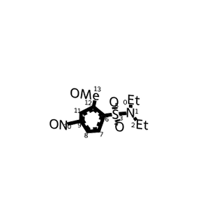 CCN(CC)S(=O)(=O)c1ccc(N=O)cc1OC